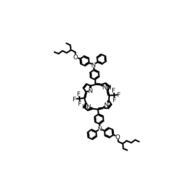 CCCCC(CC)COc1ccc(N(c2ccccc2)c2ccc(-c3c4nc(c(C(F)(F)F)c5ccc([nH]5)c(-c5ccc(N(c6ccccc6)c6ccc(OCC(CC)CCCC)cc6)cc5)c5nc(c(C(F)(F)F)c6ccc3[nH]6)C=C5)C=C4)cc2)cc1